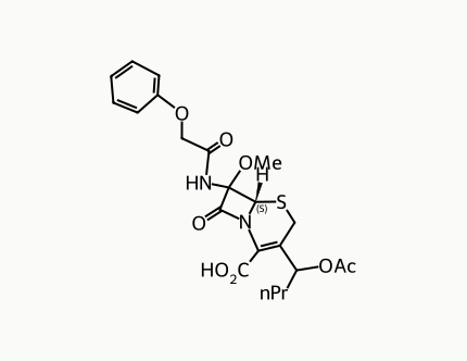 CCCC(OC(C)=O)C1=C(C(=O)O)N2C(=O)C(NC(=O)COc3ccccc3)(OC)[C@@H]2SC1